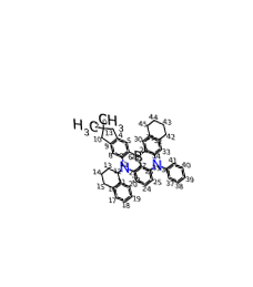 CC1(C)Cc2cc3c(cc2C1)N(C1CCCc2ccccc21)c1cccc2c1B3c1cc3c(cc1N2c1ccccc1)CCCC3